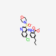 CCCc1ccc(Nc2c([S+]([O-])N3CCOCC3)cnc3ccc(Cl)cc23)c(C(=O)OC)c1